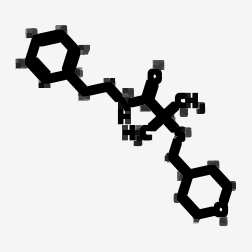 CC(C)(SCC1CCOCC1)C(=O)NCCc1ccccc1